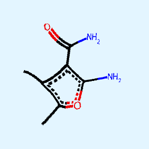 Cc1oc(N)c(C(N)=O)c1C